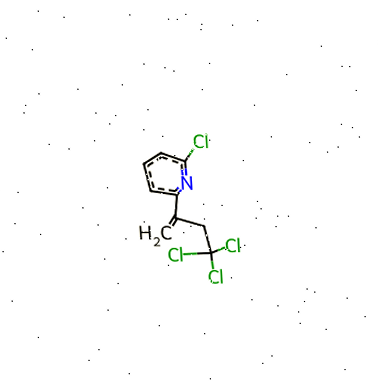 C=C(CC(Cl)(Cl)Cl)c1cccc(Cl)n1